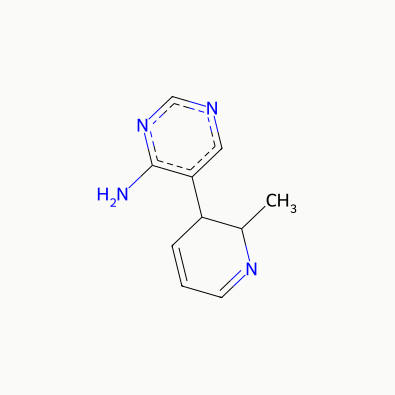 CC1N=CC=CC1c1cncnc1N